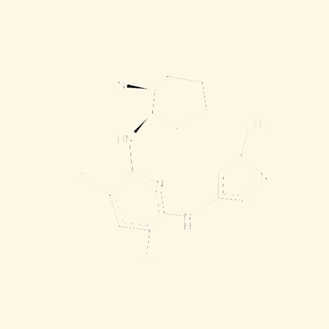 CC(=O)c1cc(F)c(N[C@@H]2CCCC[C@@H]2N)nc1Nc1cc(C)no1